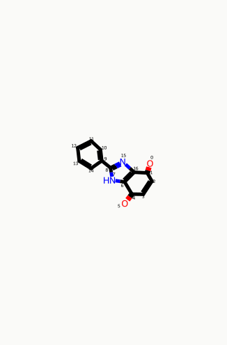 O=C1C=CC(=O)c2[nH]c(-c3ccccc3)nc21